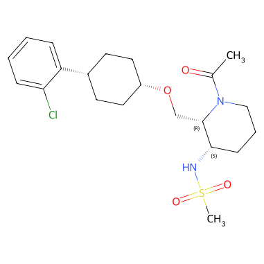 CC(=O)N1CCC[C@H](NS(C)(=O)=O)[C@@H]1CO[C@H]1CC[C@@H](c2ccccc2Cl)CC1